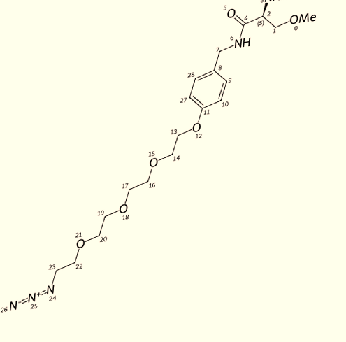 COC[C@H](NC(C)=O)C(=O)NCc1ccc(OCCOCCOCCOCCN=[N+]=[N-])cc1